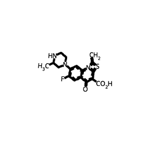 C=c1sc2c(C(=O)O)c(=O)c3cc(F)c(N4CCNC(C)C4)cc3n12